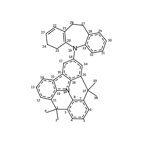 CC1(C)c2cccc3c2-n2c4c1cccc4c1cc(N4C5=C(C=CCC5)CCc5ccccc54)cc(c12)C3(C)C